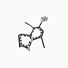 COc1cc(C)n2nccc2c1C